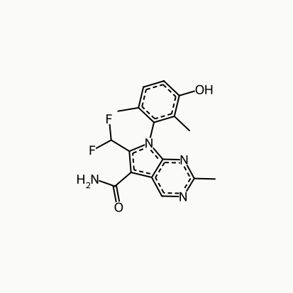 Cc1ncc2c(C(N)=O)c(C(F)F)n(-c3c(C)ccc(O)c3C)c2n1